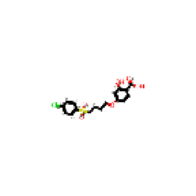 O=C(O)c1ccc(OCCCCS(=O)(=O)c2ccc(Cl)cc2)cc1O